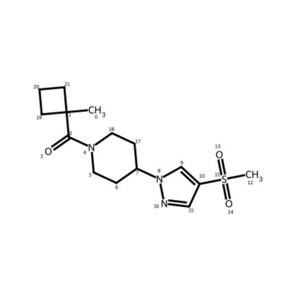 CC1(C(=O)N2CCC(n3cc(S(C)(=O)=O)cn3)CC2)CCC1